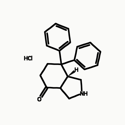 Cl.O=C1CCC(c2ccccc2)(c2ccccc2)[C@H]2CNCC12